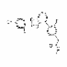 COC(=O)Cc1ccc(-c2cccc3c2OC(C)(c2ccc(Cl)cc2F)O3)c(F)c1